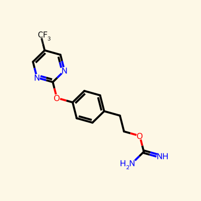 N=C(N)OCCc1ccc(Oc2ncc(C(F)(F)F)cn2)cc1